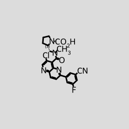 CN(C[C@@H]1CCCN1C(=O)O)C(=O)c1c(Cl)cnc2ccc(-c3cc(F)cc(C#N)c3)nc12